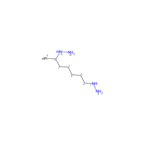 CCCC(CCCCCNN)NN